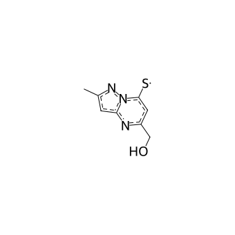 Cc1cc2nc(CO)cc([S])n2n1